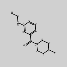 [CH2]C1CCN(C(=O)c2cccc(OCC)c2)CC1